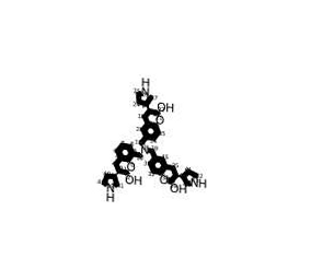 O=C(O)C(Cc1cccc(CN(Cc2cccc(CC(C(=O)O)[C@H]3CCNC3)c2)Cc2cccc(CC(C(=O)O)[C@H]3CCNC3)c2)c1)[C@H]1CCNC1